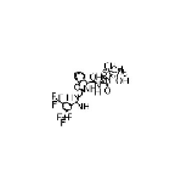 CC1(C)S[C@@H]2[C@H](NC(=O)C(NC(=O)CNC(=N)c3cc(C(F)(F)F)cc(C(F)(F)F)c3)c3ccccc3)C(=O)N2[C@H]1C(=O)O